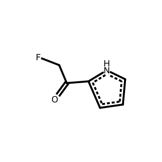 O=C(CF)c1ccc[nH]1